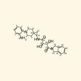 Nc1ccccc1N1CCC2(CC1)CC2NC(=O)[C@H](O)[C@@H](O)C(=O)N1Cc2ccccc2C1